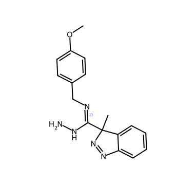 COc1ccc(C/N=C(\NN)C2(C)N=Nc3ccccc32)cc1